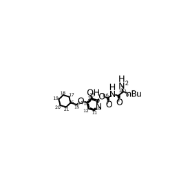 CCCC[C@H](N)C(=O)NC(=O)Oc1nccc(OCC2CCCCC2)c1O